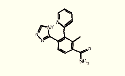 Cc1c(C(N)=O)ccc(-c2nnc[nH]2)c1-c1ccccn1